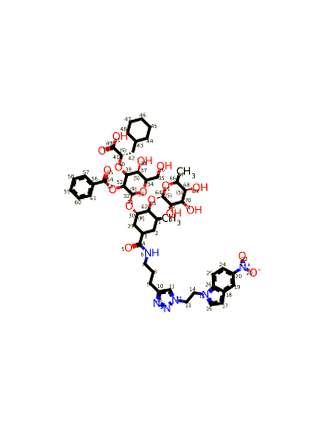 CC1CC(C(=O)NCCCc2cn(CCn3ccc4cc([N+](=O)[O-])ccc43)nn2)C[C@@H](O[C@@H]2OC(CO)[C@H](O)C(O[C@@H](CC3CCCCC3)C(=O)O)C2OC(=O)c2ccccc2)C1O[C@@H]1OC(C)[C@@H](O)C(O)C1O